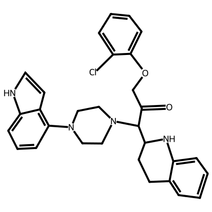 O=C(COc1ccccc1Cl)C(C1CCc2ccccc2N1)N1CCN(c2cccc3[nH]ccc23)CC1